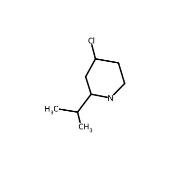 CC(C)C1CC(Cl)CC[N]1